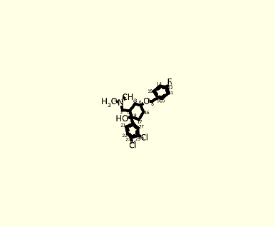 CN(C)CC1CC(OCc2ccc(F)cc2)CCC1(O)c1ccc(Cl)c(Cl)c1